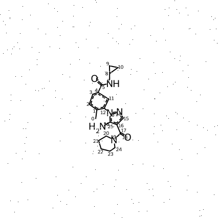 Cc1ccc(C(=O)NC2CC2)cc1-n1ncc(C(=O)N2CCCCC2)c1N